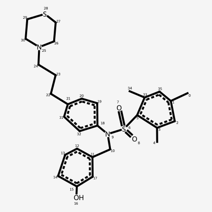 Cc1cc(C)c(S(=O)(=O)N(Cc2cccc(O)c2)c2ccc(CCCN3CCSCC3)cc2)c(C)c1